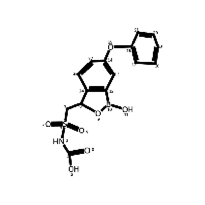 O=C(O)NS(=O)(=O)CC1OB(O)c2cc(Oc3ccccc3)ccc21